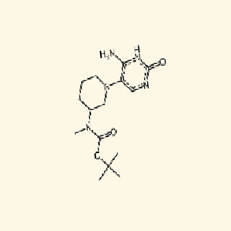 CN(C(=O)OC(C)(C)C)C1CCCN(c2cnc(=O)[nH]c2N)C1